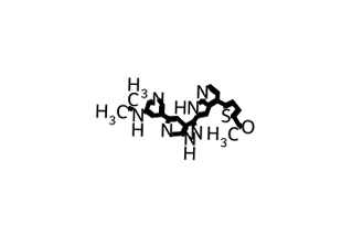 CC(=O)c1ccc(-c2ccnc3[nH]c(-c4n[nH]c5cnc(-c6cncc(NC(C)C)c6)cc45)cc23)s1